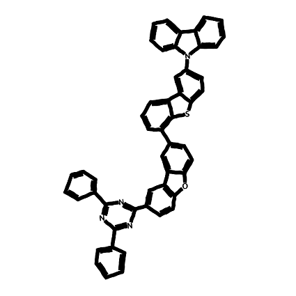 c1ccc(-c2nc(-c3ccccc3)nc(-c3ccc4oc5ccc(-c6cccc7c6sc6ccc(-n8c9ccccc9c9ccccc98)cc67)cc5c4c3)n2)cc1